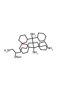 CCCCCCCCCC(CN)CCCCC(CCCN)(C(N)(C1CCCCC1)C1CCCCC1)C(N)(C1CCCCC1)C1CCCCC1